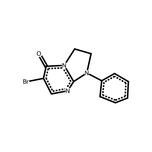 O=c1c(Br)cnc2n1CCN2c1ccccc1